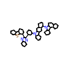 c1cc(-c2nc3ccccc3nc2-c2cccc3c2sc2ccccc23)cc(-n2c3ccccc3c3cc4c(-n5c6ccccc6c6c7ccccc7ccc65)cccc4cc32)c1